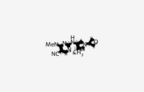 CNc1nc(Nc2cn(C3COC3)nc2C)ncc1C#N